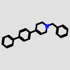 C1=C(c2ccc(-c3ccccc3)cc2)CCN(Cc2ccccc2)C1